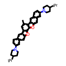 Cc1cc2c3cc4ccc(N5CCC(C(C)C)CC5)cc4cc3oc2c2oc3cc4cc(N5CCC(C(C)C)CC5)ccc4cc3c12